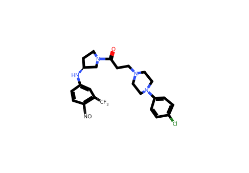 O=Nc1ccc(N[C@H]2CCN(C(=O)CCN3CCN(c4ccc(Cl)cc4)CC3)C2)cc1C(F)(F)F